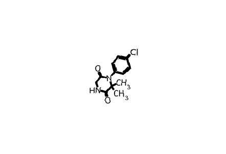 CC1(C)C(=O)NCC(=O)N1c1ccc(Cl)cc1